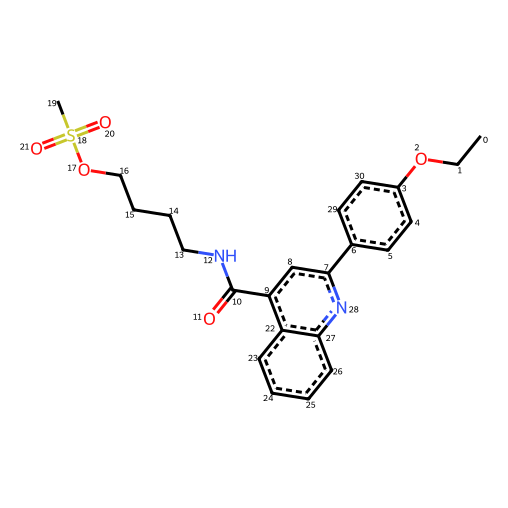 CCOc1ccc(-c2cc(C(=O)NCCCCOS(C)(=O)=O)c3ccccc3n2)cc1